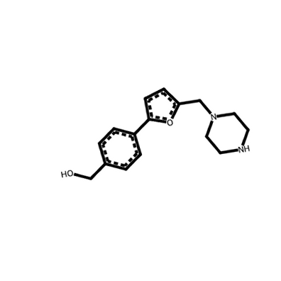 OCc1ccc(-c2ccc(CN3CCNCC3)o2)cc1